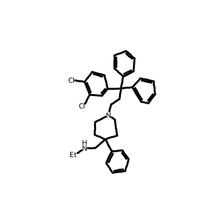 CCNCC1(c2ccccc2)CCN(CCC(c2ccccc2)(c2ccccc2)c2ccc(Cl)c(Cl)c2)CC1